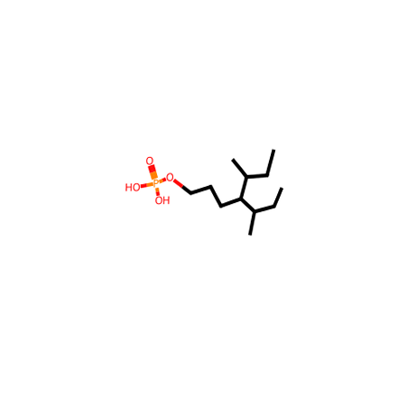 CCC(C)C(CCCOP(=O)(O)O)C(C)CC